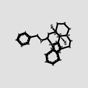 c1ccc(COC2C[C@@H]3CCCN4CCc5c(n2c2ccccc52)[C@@H]34)cc1